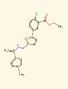 CCOC(=O)c1cc(-c2ccc(CN[C@H](C)c3ccc(C)cc3)o2)ccc1Cl